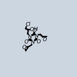 O=c1n(CC(O)CCl)c(=O)n(CC2CO2)c(=O)n1CC1CO1